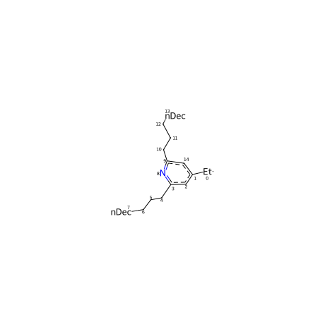 C[CH]c1cc(CCCCCCCCCCCCC)nc(CCCCCCCCCCCCC)c1